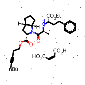 CCCCC#CCCOC(=O)[C@@H]1C[C@@H]2CCC[C@@H]2N1C(=O)[C@H](C)N[C@@H](CCc1ccccc1)C(=O)OCC.O=C(O)/C=C\C(=O)O